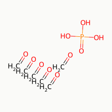 C=O.C=O.C=O.C=O.C=O.C=O.O=P(O)(O)O